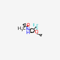 CC1(C(=O)Nc2ccc(OCC3CC3)c(C(F)(F)F)c2)CC1